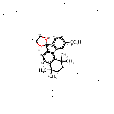 CC1(C)CCC(C)(C)c2cc(C3(c4ccc(C(=O)O)cc4)OCCO3)ccc21